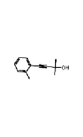 Cc1ccccc1C#CC(C)(C)O